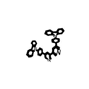 c1ccc2c(c1)c1ccccc1n2-c1ccc(-c2cncc(-c3cncc(-c4ccc(-n5c6ccccc6c6ccccc65)cc4)c3)c2)cc1